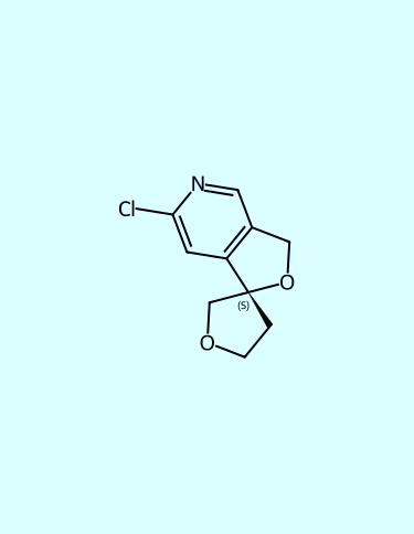 Clc1cc2c(cn1)CO[C@@]21CCOC1